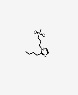 CCCCc1nccn1CCCS(C)(=O)=O